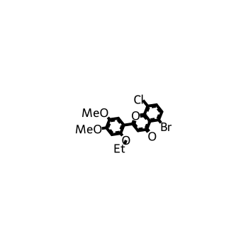 CCOc1cc(OC)c(OC)cc1-c1cc(=O)c2c(Br)ccc(Cl)c2o1